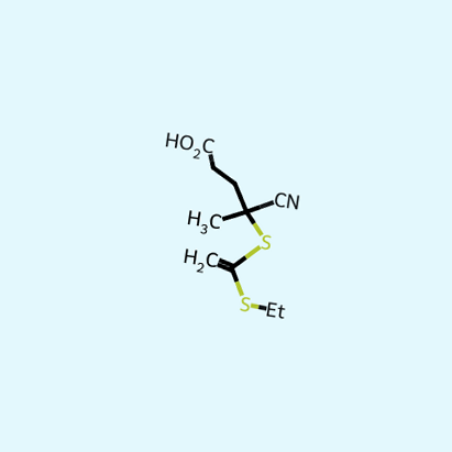 C=C(SCC)SC(C)(C#N)CCC(=O)O